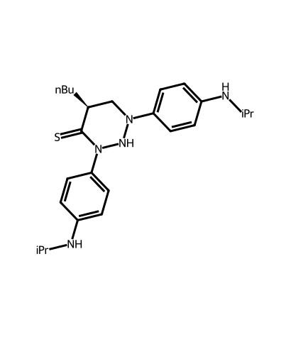 CCCC[C@H]1CN(c2ccc(NC(C)C)cc2)NN(c2ccc(NC(C)C)cc2)C1=S